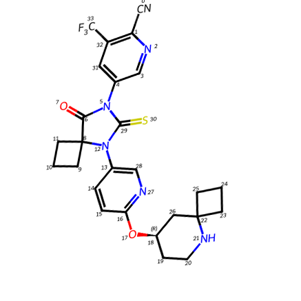 N#Cc1ncc(N2C(=O)C3(CCC3)N(c3ccc(O[C@@H]4CCNC5(CCC5)C4)nc3)C2=S)cc1C(F)(F)F